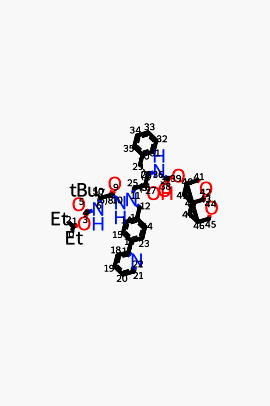 CCC(CC)OC(=O)N[C@H](C(=O)NN(Cc1ccc(-c2ccccn2)cc1)C[C@H](O)[C@H](Cc1ccccc1)NC(=O)OC12COC3OCC1CC3C2)C(C)(C)C